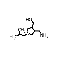 C[C](C)CN1CC(CN)C(CO)C1